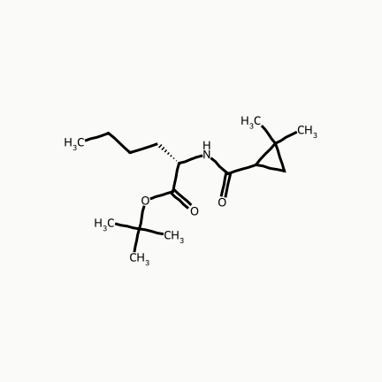 CCCC[C@H](NC(=O)C1CC1(C)C)C(=O)OC(C)(C)C